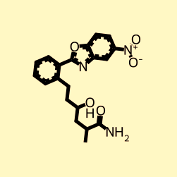 CC(CC(O)CCc1ccccc1-c1nc2cc([N+](=O)[O-])ccc2o1)C(N)=O